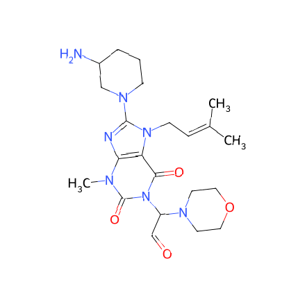 CC(C)=CCn1c(N2CCCC(N)C2)nc2c1c(=O)n(C(C=O)N1CCOCC1)c(=O)n2C